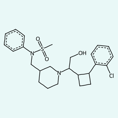 CS(=O)(=O)N(CC1CCCN(C(CO)C2CCC2c2ccccc2Cl)C1)c1ccccc1